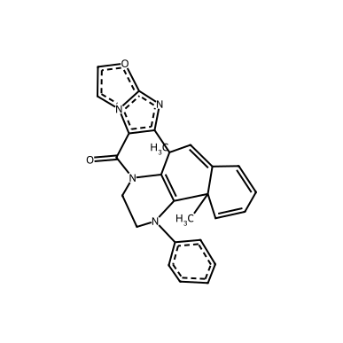 CC12C=CC=CC1=CC1(C)C3=C2N(c2ccccc2)CCN3C(=O)c2c1nc1occn21